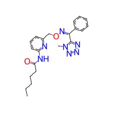 CCCCCC(=O)Nc1cccc(CON=C(c2ccccc2)c2nnnn2C)n1